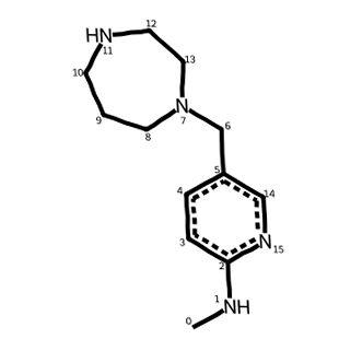 CNc1ccc(CN2CCCNCC2)cn1